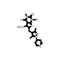 CCOC(=O)c1c(Cc2c(C)nn(-c3ccncc3)c2C)sc2c1c(=O)n(C)c(=O)n2C(C)C